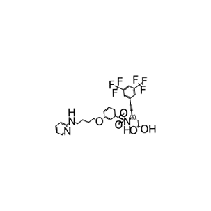 O=C(O)C[C@@H](C#Cc1cc(C(F)(F)F)cc(C(F)(F)F)c1)NS(=O)(=O)c1cccc(OCCCCNc2ccccn2)c1